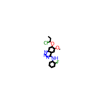 CCC(Cl)Oc1cc2nnnc(Nc3ccccc3F)c2cc1OC